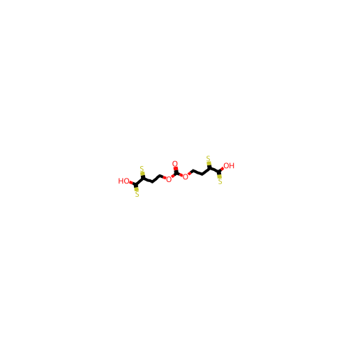 O=C(OCCC(=S)C(O)=S)OCCC(=S)C(O)=S